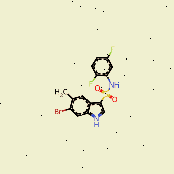 Cc1cc2c(S(=O)(=O)Nc3cc(F)ccc3F)c[nH]c2cc1Br